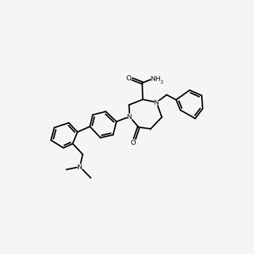 CN(C)Cc1ccccc1-c1ccc(N2CC(C(N)=O)N(Cc3ccccc3)C[CH]C2=O)cc1